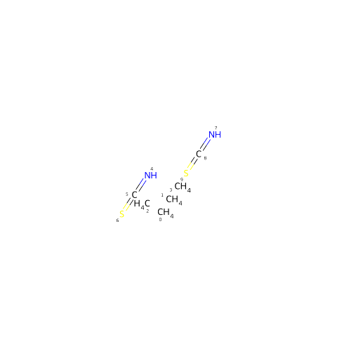 C.C.C.C.N=C=S.N=C=S